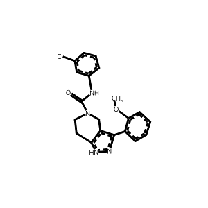 COc1ccccc1-c1n[nH]c2c1CN(C(=O)Nc1cccc(Cl)c1)CC2